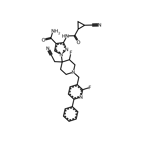 N#CCC1(n2cc(C(N)=O)c(NC(=O)C3CC3C#N)n2)CCN(Cc2ccc(-c3ccccc3)nc2F)CC1F